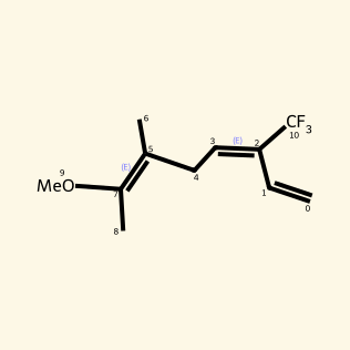 C=C/C(=C\C/C(C)=C(\C)OC)C(F)(F)F